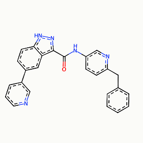 O=C(Nc1ccc(Cc2ccccc2)nc1)c1n[nH]c2ccc(-c3cccnc3)cc12